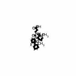 Cc1ccccc1-c1cc(N(C(=O)NCCC(=O)O)c2c(O)ccn(C)c2=O)ccc1F